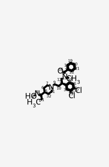 CC/C(=N\O)C1CCN(CCC(CN(C)C(=O)c2ccccc2)c2ccc(Cl)c(Cl)c2)CC1